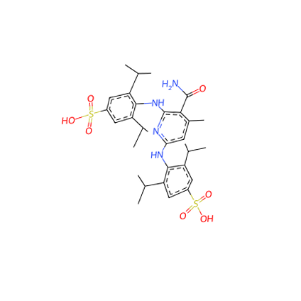 Cc1cc(Nc2c(C(C)C)cc(S(=O)(=O)O)cc2C(C)C)nc(Nc2c(C(C)C)cc(S(=O)(=O)O)cc2C(C)C)c1C(N)=O